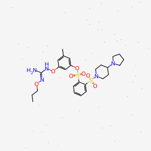 CCCON=C(N)NOc1cc(C)cc(OS(=O)(=O)c2ccccc2S(=O)(=O)N2CCC(N3CCCC3)CC2)c1